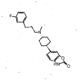 CN(CCCc1cccc(F)c1)[C@H]1CC[C@H](c2ccc3[nH]c(=O)oc3c2)CC1